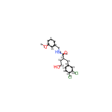 COc1cccc(CNC(=O)C(CCO)Cc2ccc(Cl)c(Cl)c2)c1